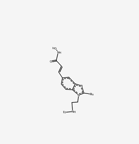 CCCCc1nc2cc(C=CC(=O)NO)ccc2n1CCNCC